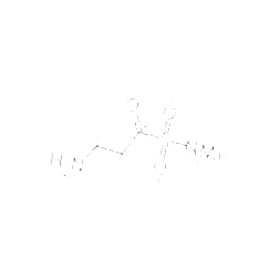 CNS(=O)(=O)C(=O)CCN